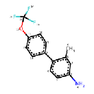 Cc1cc(N)ccc1-c1ccc(OC(F)(F)F)cc1